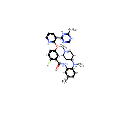 CNc1ncnc(-c2cccnc2Oc2ccc(F)c(C(=O)Nc3cc(C(F)(F)F)ccc3N(C)C3CCN(C)CC3)c2)n1